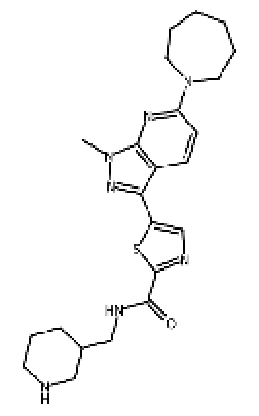 Cn1nc(-c2cnc(C(=O)NCC3CCCNC3)s2)c2ccc(N3CCCCCC3)nc21